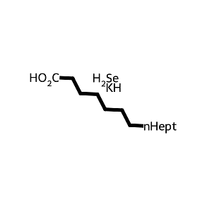 CCCCCCCCCCCCCC(=O)O.[KH].[SeH2]